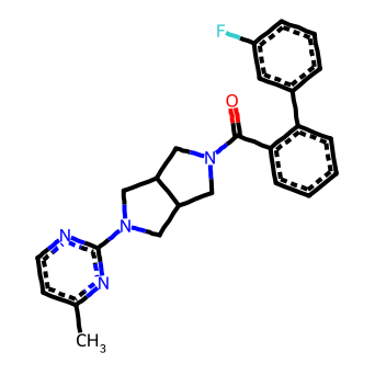 Cc1ccnc(N2CC3CN(C(=O)c4ccccc4-c4cccc(F)c4)CC3C2)n1